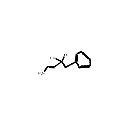 CC=CC(N)(CC)Cc1ccccc1